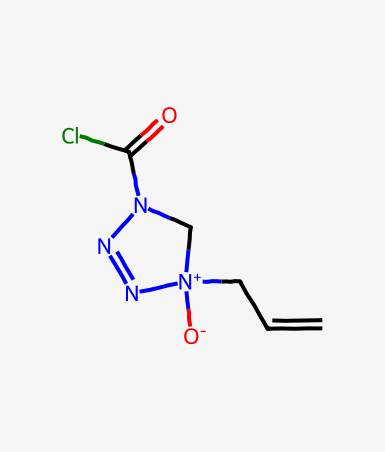 C=CC[N+]1([O-])CN(C(=O)Cl)N=N1